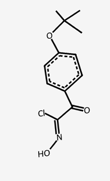 CC(C)(C)Oc1ccc(C(=O)C(Cl)=NO)cc1